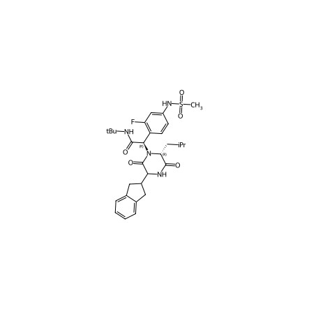 CC(C)C[C@@H]1C(=O)NC(C2Cc3ccccc3C2)C(=O)N1[C@@H](C(=O)NC(C)(C)C)c1ccc(NS(C)(=O)=O)cc1F